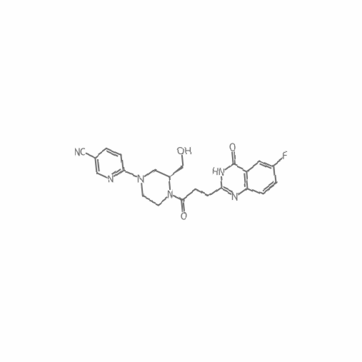 N#Cc1ccc(N2CCN(C(=O)CCc3nc4ccc(F)cc4c(=O)[nH]3)[C@H](CO)C2)nc1